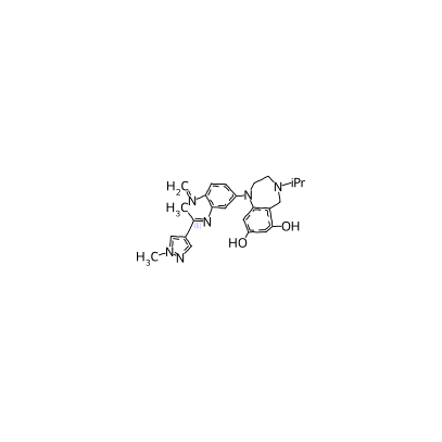 C=Nc1ccc(N2CCN(C(C)C)Cc3c(O)cc(O)cc32)cc1/N=C(\C)c1cnn(C)c1